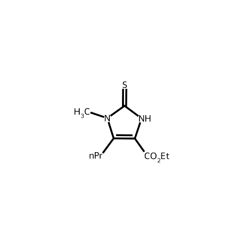 CCCc1c(C(=O)OCC)[nH]c(=S)n1C